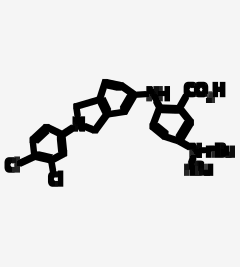 CCCCN(CCCC)c1ccc(Nc2ccc3c(c2)CN(c2ccc(Cl)c(Cl)c2)C3)c(C(=O)O)c1